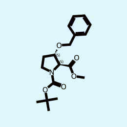 COC(=O)[C@@H]1[C@@H](OCc2ccccc2)CCN1C(=O)OC(C)(C)C